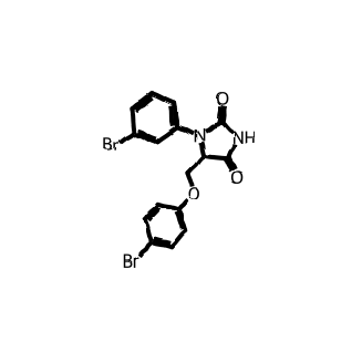 O=C1NC(=O)N(c2cccc(Br)c2)C1COc1ccc(Br)cc1